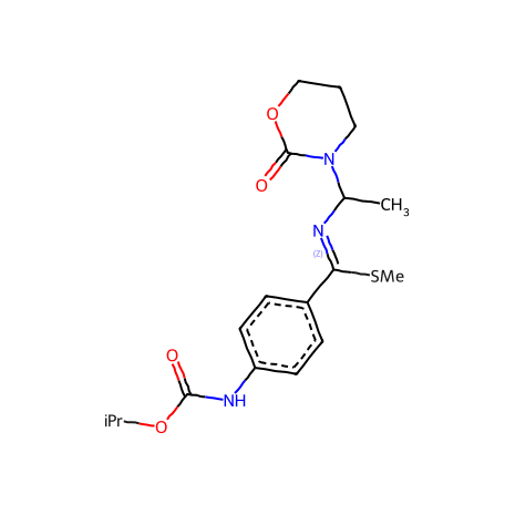 CS/C(=N\C(C)N1CCCOC1=O)c1ccc(NC(=O)OC(C)C)cc1